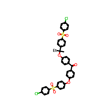 CCC(C)(Oc1ccc(C(=O)c2ccc(Oc3ccc(S(=O)(=O)c4ccc(Cl)cc4)cc3)cc2)cc1)c1ccc(S(=O)(=O)c2ccc(Cl)cc2)cc1